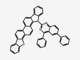 c1ccc(-c2ccc3nc(-n4c5ccccc5c5ccc6c7ccc8c9ccccc9sc8c7ccc6c54)nc(-c4ccccc4)c3c2)cc1